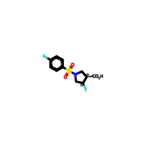 O=C(O)[C@H]1CN(S(=O)(=O)c2ccc(F)cc2)C[C@@H]1F